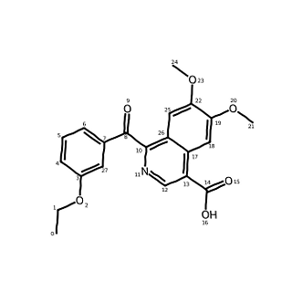 CCOc1cccc(C(=O)c2ncc(C(=O)O)c3cc(OC)c(OC)cc23)c1